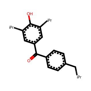 CC(C)Cc1ccc(C(=O)c2cc(C(C)C)c(O)c(C(C)C)c2)cc1